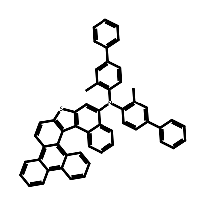 Cc1cc(-c2ccccc2)ccc1N(c1ccc(-c2ccccc2)cc1C)c1cc2sc3ccc4c5ccccc5c5ccccc5c4c3c2c2ccccc12